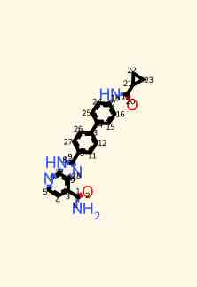 NC(=O)c1ccnc2[nH]c(-c3ccc(-c4ccc(NC(=O)C5CC5)cc4)cc3)nc12